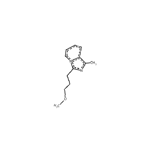 COCCCc1nc(C)c2cc[c]cn12